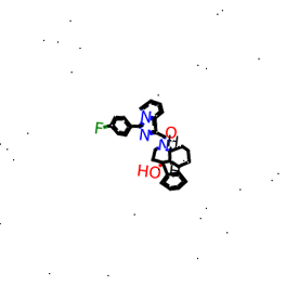 O=C(c1nc(-c2ccc(F)cc2)n2ccccc12)N1CCC(O)(c2ccccc2)[C@H]2CCCC[C@H]21